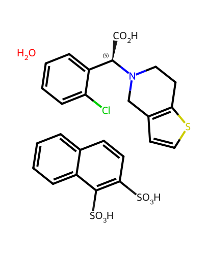 O.O=C(O)[C@H](c1ccccc1Cl)N1CCc2sccc2C1.O=S(=O)(O)c1ccc2ccccc2c1S(=O)(=O)O